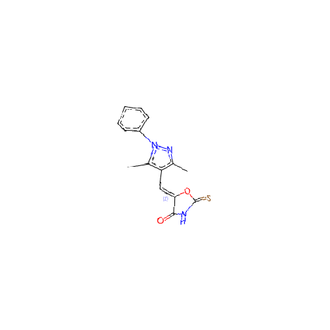 Cc1nn(-c2ccccc2)c(C)c1/C=C1\OC(=S)NC1=O